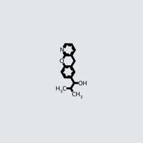 CC(C)C(O)c1ccc2c(c1)Cc1cccnc1O2